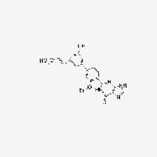 CCOc1cc(-c2cc(O)cc(/C=C/C(=O)O)c2)ccc1-c1nc2[nH]cnc2c(=O)[nH]1